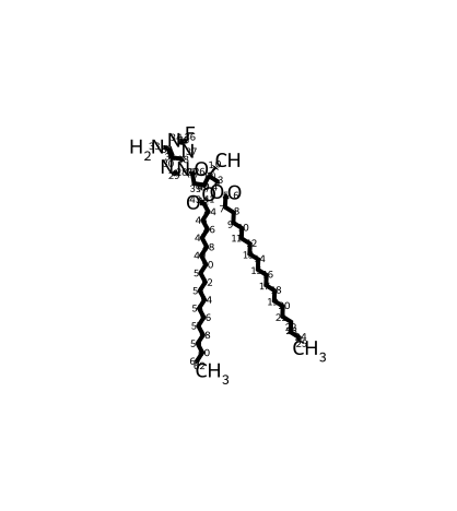 C#C[C@]1(COC(=O)CCCCCCCCCCCCCCCCCCC)O[C@@H](n2cnc3c(N)nc(F)nc32)C[C@@H]1OC(=O)CCCCCCCCCCCCCCCCCCC